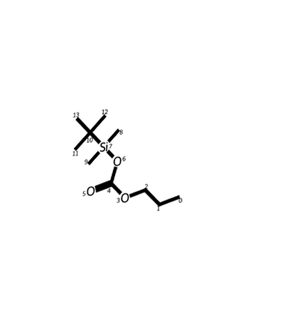 CCCOC(=O)O[Si](C)(C)C(C)(C)C